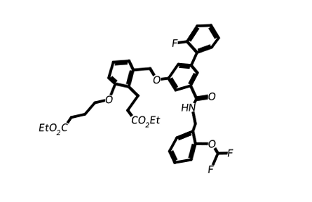 CCOC(=O)CCCOc1cccc(COc2cc(C(=O)NCc3ccccc3OC(F)F)cc(-c3ccccc3F)c2)c1CCC(=O)OCC